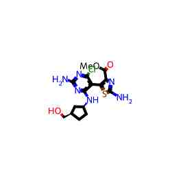 COC(=O)c1nc(N)sc1-c1c(Cl)nc(N)nc1N[C@H]1CC[C@@H](CO)C1